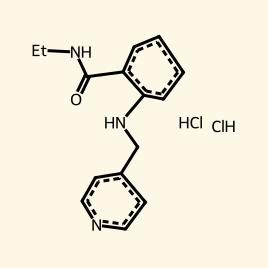 CCNC(=O)c1ccccc1NCc1ccncc1.Cl.Cl